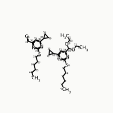 CCCCCCSc1nc(C2CC2)cc(C(OCC)OCC)n1.CCCCCCSc1nc(C=O)cc(C2CC2)n1